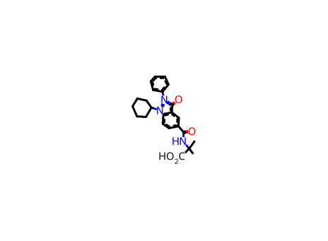 CC(C)(NC(=O)c1ccc2c(c1)c(=O)n(-c1ccccc1)n2C1CCCCC1)C(=O)O